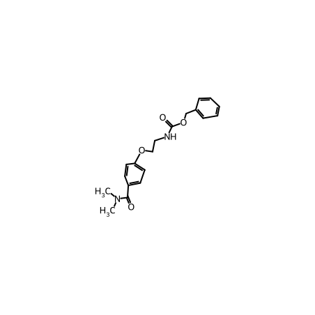 CN(C)C(=O)c1ccc(OCCNC(=O)OCc2ccccc2)cc1